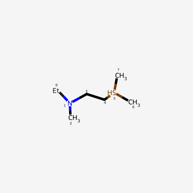 CCN(C)CC[SH](C)C